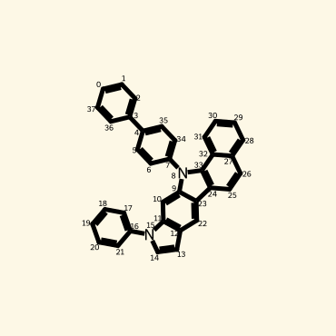 c1ccc(-c2ccc(-n3c4cc5c(ccn5-c5ccccc5)cc4c4ccc5ccccc5c43)cc2)cc1